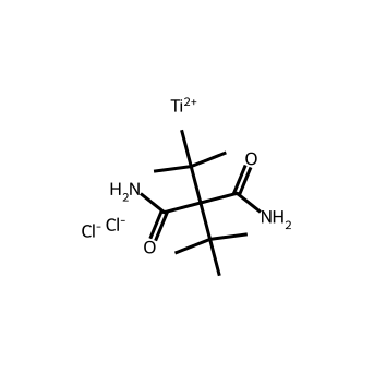 CC(C)(C)C(C(N)=O)(C(N)=O)C(C)(C)C.[Cl-].[Cl-].[Ti+2]